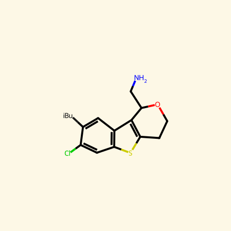 CCC(C)c1cc2c3c(sc2cc1Cl)CCOC3CN